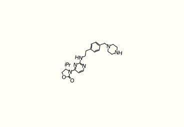 CC(C)[C@H]1COC(=O)N1c1ccnc(NCCc2ccc(CN3CCNCC3)cc2)n1